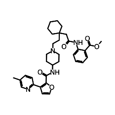 COC(=O)c1ccccc1NC(=O)CC1(CCN2CCC(NC(=O)c3occc3-c3ccc(C)cn3)CC2)CCCCC1